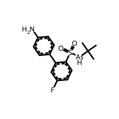 CC(C)(C)[AsH]S(=O)(=O)c1ccc(F)cc1-c1ccc(N)cc1